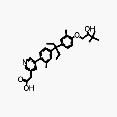 CCC(CC)(c1ccc(OCC(O)C(C)(C)C)c(C)c1)c1ccc(-c2cncc(CC(=O)O)c2)c(C)c1